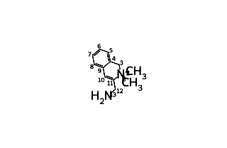 C[N+]1(C)Cc2ccccc2C=C1CN